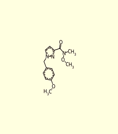 COc1ccc(Cn2ccc(C(=O)N(C)OC)n2)cc1